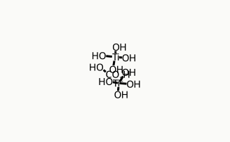 O=C(O)O.[OH][Ti]([OH])([OH])[OH].[OH][Ti]([OH])([OH])[OH]